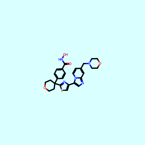 O=C(NO)c1ccc(C2(c3nc(-c4cnc5cc(CN6CCOCC6)ccn45)cs3)CCOCC2)cc1